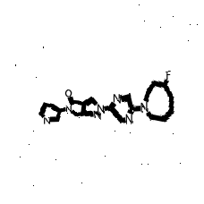 O=C1c2cn(-c3cnc(N4CCCCC(F)CC4)cn3)nc2CN1c1cccnc1